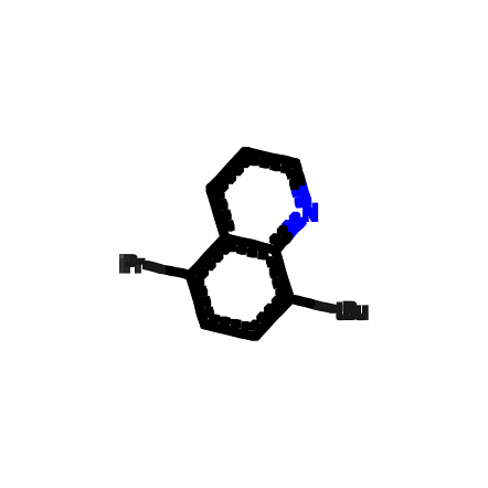 CC(C)c1ccc(C(C)(C)C)c2ncccc12